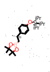 CC(C)[Si](Oc1ccc([C@@H](C)CB2OC(C)(C)C(C)(C)O2)cc1)(C(C)C)C(C)C